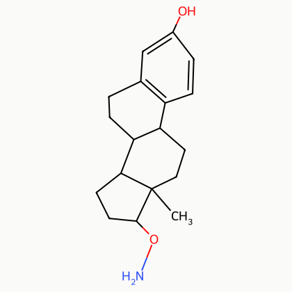 CC12CCC3c4ccc(O)cc4CCC3C1CCC2ON